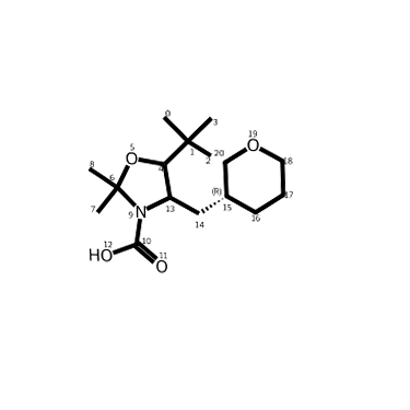 CC(C)(C)C1OC(C)(C)N(C(=O)O)C1C[C@H]1CCCOC1